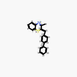 CC1=Nc2ccccc2SC1=Cc1ccc(-c2ccccc2)cc1